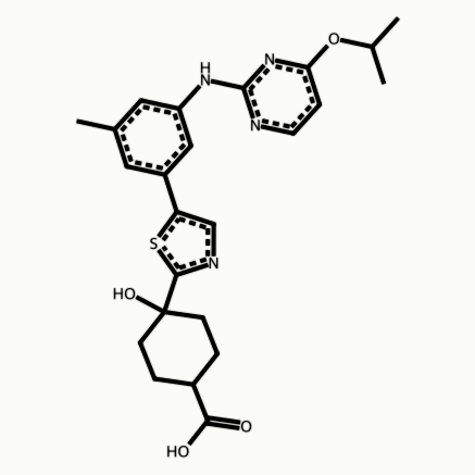 Cc1cc(Nc2nccc(OC(C)C)n2)cc(-c2cnc(C3(O)CCC(C(=O)O)CC3)s2)c1